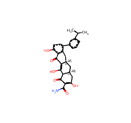 CC(C)c1cccc(-c2ccc(O)c3c2C[C@H]2C[C@H]4CC(O)=C(C(N)=O)C(=O)C4C(O)=C2C3=O)c1